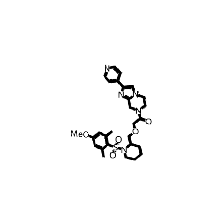 COc1cc(C)c(S(=O)(=O)N2CCCCC2COCC(=O)N2CCn3cc(-c4ccncc4)nc3C2)c(C)c1